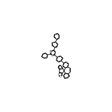 C1=Cc2ccc(-c3ccc(-c4cc(-c5ccc(-c6ccccc6)cc5)nc(-c5ccccc5)n4)cc3)cc2C2(c3ccccc31)c1ccccc1-c1ccccc12